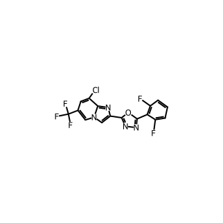 Fc1cccc(F)c1-c1nnc(-c2cn3cc(C(F)(F)F)cc(Cl)c3n2)o1